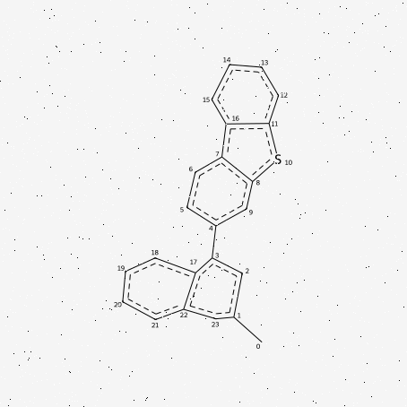 Cc1cc(-c2ccc3c(c2)sc2ccccc23)c2ccccc2c1